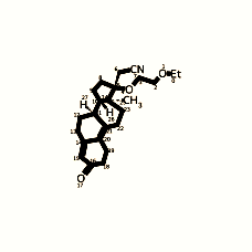 CCOCCO[C@@]1(CC#N)CC[C@H]2[C@@H]3CCC4=CC(=O)CCC4=C3CC[C@@]21C